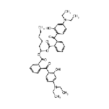 CCCCCC(OC(=O)c1ccccc1C(=O)c1ccc(N(CC)CC)cc1O)OC(=O)c1ccccc1C(=O)c1ccc(N(CC)CC)cc1O